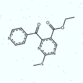 CCOC(=O)c1cnc(SC)nc1C(=O)c1ccncc1